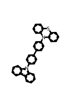 c1ccc2c(c1)Sc1ccccc1N2c1ccc(-c2ccc(-n3c4ccccc4c4ccccc43)cc2)cc1